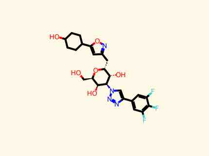 OC[C@H]1O[C@H](Cc2cc(C3CCC(O)CC3)on2)[C@H](O)[C@@H](n2cc(-c3cc(F)c(F)c(F)c3)nn2)[C@H]1O